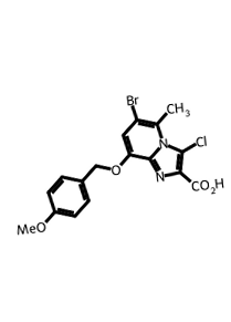 COc1ccc(COc2cc(Br)c(C)n3c(Cl)c(C(=O)O)nc23)cc1